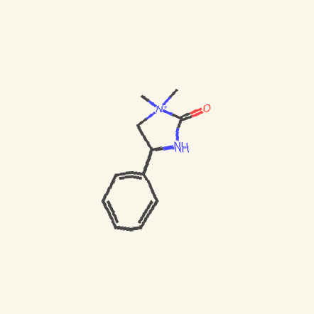 C[N+]1(C)CC(c2ccccc2)NC1=O